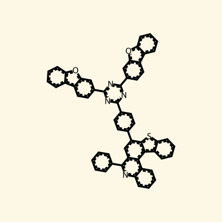 c1ccc(-c2nc3ccccc3c3c2cc(-c2ccc(-c4nc(-c5ccc6c(c5)oc5ccccc56)nc(-c5ccc6c(c5)oc5ccccc56)n4)cc2)c2sc4ccccc4c23)cc1